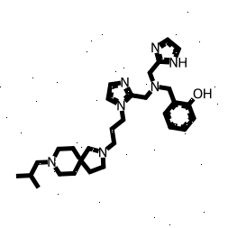 CC(C)CN1CCC2(CC1)CCN(CCCn1ccnc1CN(Cc1ncc[nH]1)Cc1ccccc1O)C2